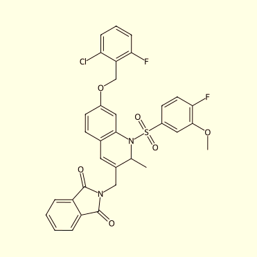 COc1cc(S(=O)(=O)N2c3cc(OCc4c(F)cccc4Cl)ccc3C=C(CN3C(=O)c4ccccc4C3=O)C2C)ccc1F